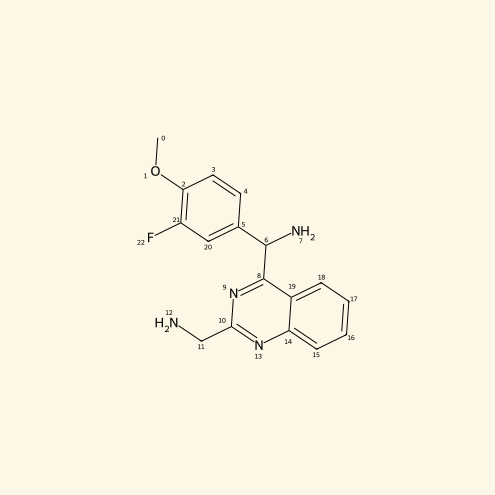 COc1ccc(C(N)c2nc(CN)nc3ccccc23)cc1F